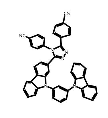 N#Cc1ccc(-c2nnc(-c3ccc4c5ccccc5n(-c5cccc(-n6c7ccccc7c7ccccc76)c5)c4c3)n2-c2ccc(C#N)cc2)cc1